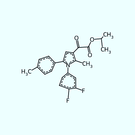 Cc1ccc(-c2cc(C(=O)C(=O)OC(C)C)c(C)n2-c2ccc(F)c(F)c2)cc1